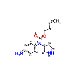 CCCCOC(=O)N(c1ccc(N)cc1)C1CCNC1